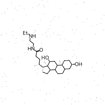 CCNCCNC(=O)CC[C@@H](C)[C@H]1CCC2C3CCC4C[C@H](O)CC[C@]4(C)C3C[C@H](O)[C@@]21C